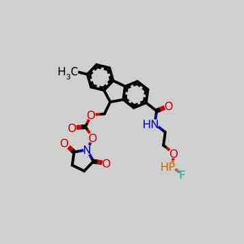 Cc1ccc2c(c1)C(COC(=O)ON1C(=O)CCC1=O)c1cc(C(=O)NCCOPF)ccc1-2